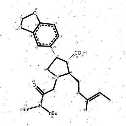 CC=C(C)CC[C@@H]1[C@@H](C(=O)O)[C@@H](c2ccc3c(c2)OCO3)CN1CC(=O)N(CCCC)CCCC